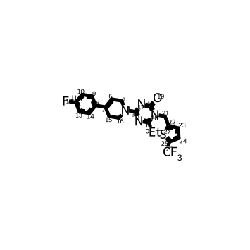 CCc1nc(N2CC=C(c3ccc(F)cc3)CC2)nc(=O)n1Cc1ccc(C(F)(F)F)s1